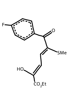 CCOC(=O)C(O)=CC=C(SC)C(=O)c1ccc(F)cc1